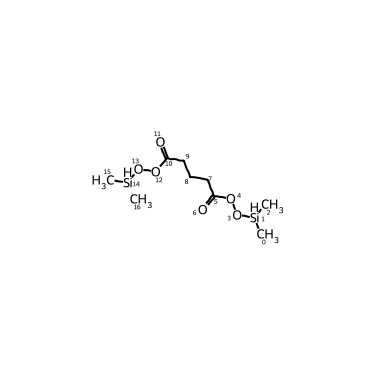 C[SiH](C)OOC(=O)CCCC(=O)OO[SiH](C)C